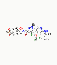 CC[C@@H](CC(F)(F)F)Nc1cc(OC(F)F)c(-c2c(Cl)c(C(=O)NCC3(O)CCC(S(C)(=O)=O)CC3)nn2CC)cn1